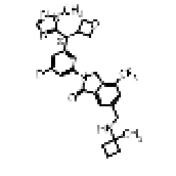 Cn1ncnc1[C@H](c1cc(F)cc(N2Cc3c(cc(CNC4(C)CCC4)cc3C(F)(F)F)C2=O)c1)C1COC1